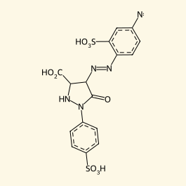 [N]c1ccc(N=NC2C(=O)N(c3ccc(S(=O)(=O)O)cc3)NC2C(=O)O)c(S(=O)(=O)O)c1